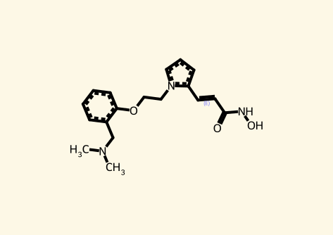 CN(C)Cc1ccccc1OCCn1cccc1/C=C/C(=O)NO